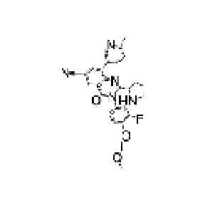 COCCOc1ccc(-n2c(C3CCCN3)nc3c(-c4ccc(C)nc4)cc(C#N)cc3c2=O)cc1F